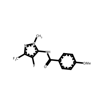 COc1ccc(C(=O)Nc2c(F)c(C(F)(F)F)nn2C)cc1